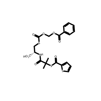 CC(C)(SC(=O)c1cccs1)C(=O)N[C@@H](CSC(=O)OCOC(=O)c1ccccc1)C(=O)O